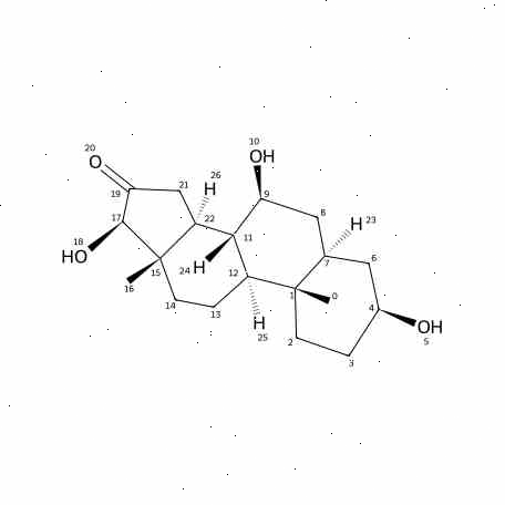 C[C@]12CC[C@H](O)C[C@@H]1C[C@H](O)[C@@H]1[C@@H]2CC[C@]2(C)[C@@H](O)C(=O)C[C@@H]12